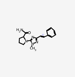 Cn1nc(/C=C/c2ccccc2)nc1N1CCCC1C(N)=O